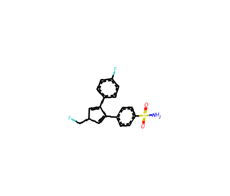 NS(=O)(=O)c1ccc(C2=CC(CF)C=C2c2ccc(F)cc2)cc1